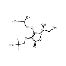 CCCCCCCCC(O)COC1=C(OCC(C)(C)O)C(=O)O[C@@H]1[C@@H](O)CO